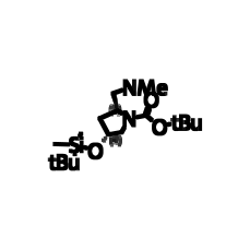 CNC[C@@H]1C[C@@H](O[Si](C)(C)C(C)(C)C)CN1C(=O)OC(C)(C)C